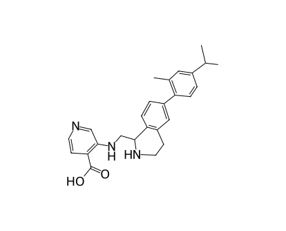 Cc1cc(C(C)C)ccc1-c1ccc2c(c1)CCNC2CNc1cnccc1C(=O)O